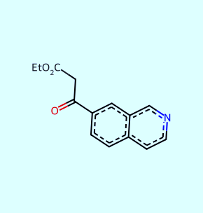 CCOC(=O)CC(=O)c1ccc2ccncc2c1